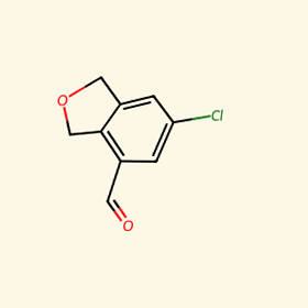 O=Cc1cc(Cl)cc2c1COC2